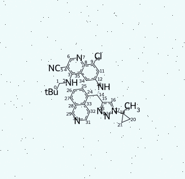 CC(C)(C)CNc1c(C#N)cnc2c(Cl)cc(N[C@H](c3cn(C4(C)CC4)nn3)c3cccc4cnccc34)cc12